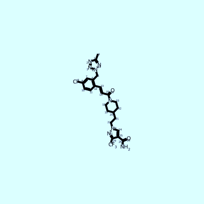 Cc1nnn(Cc2cc(Cl)ccc2/C=C/C(=O)N2CCC(CCn3cc(C(N)=O)c(C(F)(F)F)n3)CC2)n1